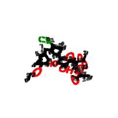 CCOc1ccc(Cc2cc([C@H]3O[C@@H]([C@@H](COC(C)=O)OC(C)=O)[C@@H](O)[C@@H]3O)ccc2Cl)cc1